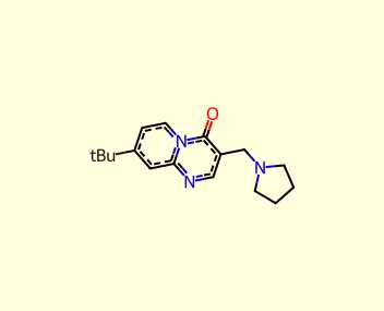 CC(C)(C)c1ccn2c(=O)c(CN3CCCC3)cnc2c1